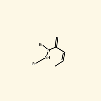 C=C(/C=C\C)N(CC)NC(C)C